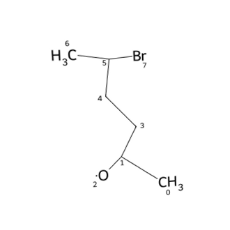 CC([O])CCC(C)Br